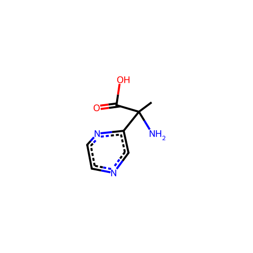 CC(N)(C(=O)O)c1cnccn1